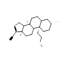 COCC[C@]12CC[C@@H](O)C[C@@H]1CC[C@@H]1[C@@H]2CC[C@]2(C)C(C#N)=CC[C@@H]12